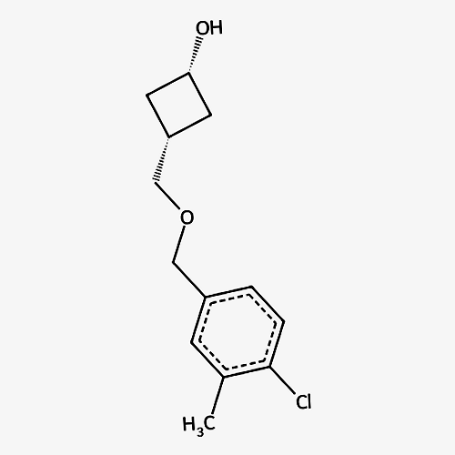 Cc1cc(COC[C@H]2C[C@@H](O)C2)ccc1Cl